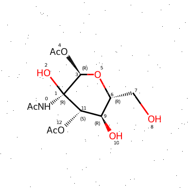 CC(=O)N[C@]1(O)[C@@H](OC(C)=O)O[C@H](CO)[C@@H](O)[C@@H]1OC(C)=O